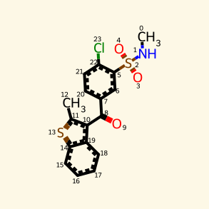 CNS(=O)(=O)c1cc(C(=O)c2c(C)sc3ccccc23)ccc1Cl